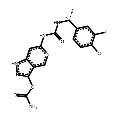 C[C@@H](NC(=O)Nc1cc2[nH]nc(OC(N)=O)c2cn1)c1ccc(Cl)c(F)c1